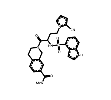 CNC(=O)c1ccc2c(c1)CN(C(=O)C(CCn1cccc1C#N)NS(=O)(=O)c1cccc3[nH]ccc13)CC2